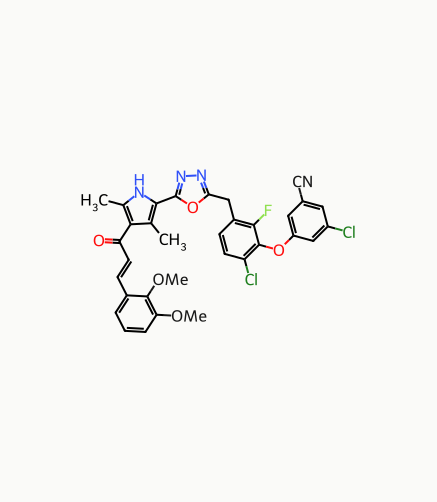 COc1cccc(C=CC(=O)c2c(C)[nH]c(-c3nnc(Cc4ccc(Cl)c(Oc5cc(Cl)cc(C#N)c5)c4F)o3)c2C)c1OC